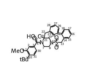 COc1cc(C(=O)N2CCN(S(=O)(=O)Cc3ccccc3)CC2(Cc2ccccc2)C(=O)O)ccc1C(C)(C)C